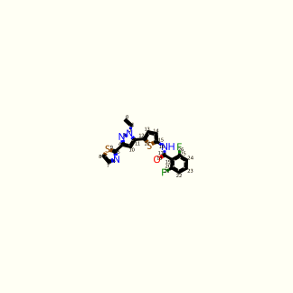 C=Cn1nc(-c2nccs2)cc1-c1ccc(NC(=O)c2c(F)cccc2F)s1